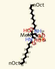 CCCCCCCC/C=C\CCCCCCCC(=O)NC(C)C(CO)(NC)C(C)NC(=O)CCCCCCC/C=C\CCCCCCCC.COS(=O)(=O)O